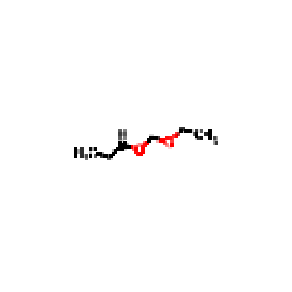 CCBOCOCC